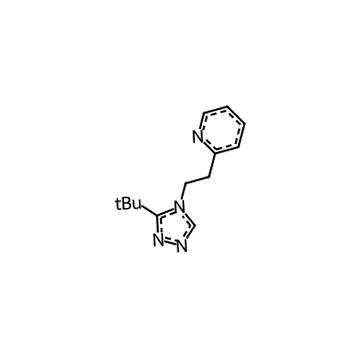 CC(C)(C)c1nncn1CCc1ccccn1